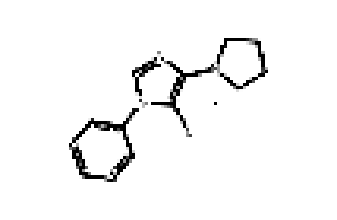 Clc1c(N2CCCC2)ncn1-c1ccccc1